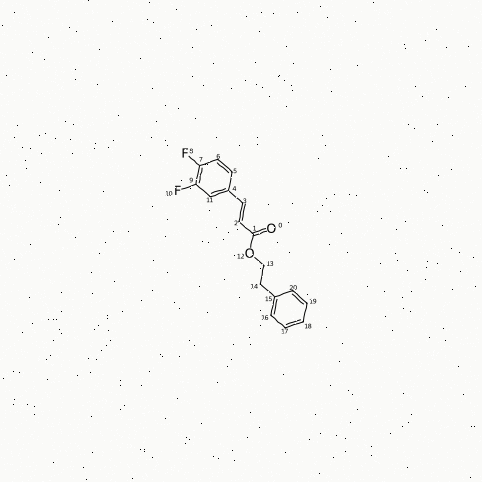 O=C(C=Cc1ccc(F)c(F)c1)OCCc1ccccc1